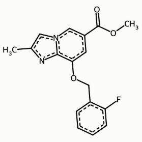 COC(=O)c1cc(OCc2ccccc2F)c2nc(C)cn2c1